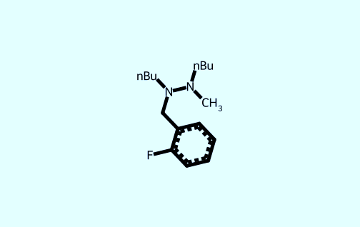 CCCCN(C)N(CCCC)Cc1ccccc1F